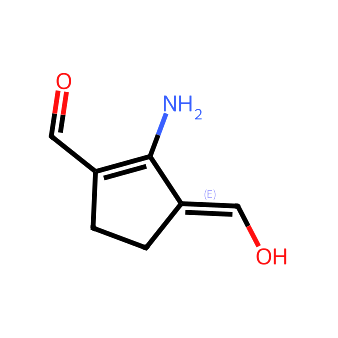 NC1=C(C=O)CC/C1=C\O